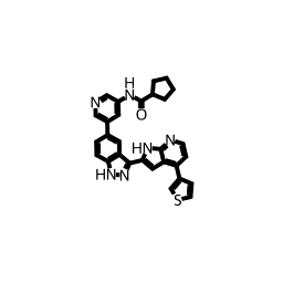 O=C(Nc1cncc(-c2ccc3[nH]nc(-c4cc5c(-c6ccsc6)ccnc5[nH]4)c3c2)c1)C1CCCC1